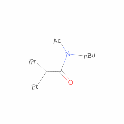 CCCCN(C(C)=O)C(=O)C(CC)C(C)C